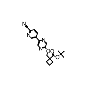 CC(C)(C)OC(=O)C1(COc2cnc(-c3ccc(C#N)nc3)cn2)CCC1